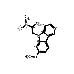 COc1ccc2c3ccccc3n(CC(C)N(C)C)c2c1